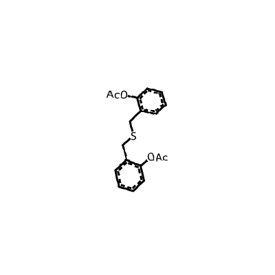 CC(=O)Oc1ccccc1CSCc1ccccc1OC(C)=O